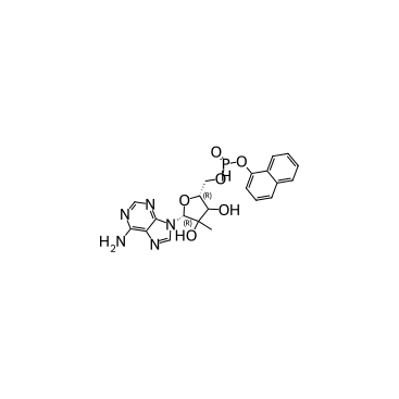 CC1(O)C(O)[C@@H](CO[PH](=O)Oc2cccc3ccccc23)O[C@H]1n1cnc2c(N)ncnc21